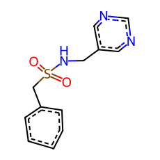 O=S(=O)(Cc1ccccc1)NCc1cncnc1